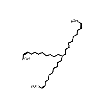 CCCCCCCC/C=C\CCCCCCCCN(CCCCCCCC/C=C\CCCCCCCC)CCCCCCCC/C=C\CCCCCCCC